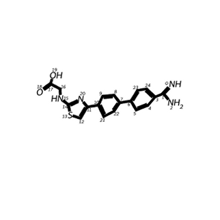 N=C(N)c1ccc(-c2ccc(-c3csc(NCC(=O)O)n3)cc2)cc1